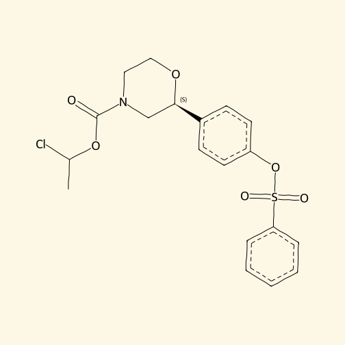 CC(Cl)OC(=O)N1CCO[C@@H](c2ccc(OS(=O)(=O)c3ccccc3)cc2)C1